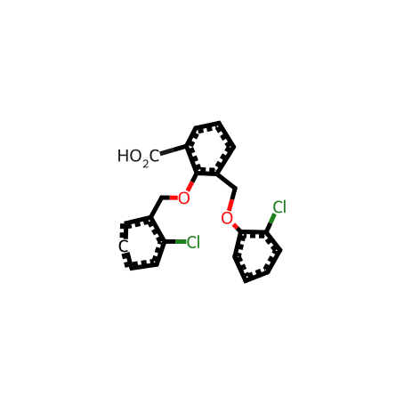 O=C(O)c1cccc(COc2ccccc2Cl)c1OCc1ccccc1Cl